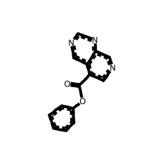 O=C(Oc1ccccc1)c1cncc2ncncc12